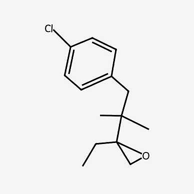 CCC1(C(C)(C)Cc2ccc(Cl)cc2)CO1